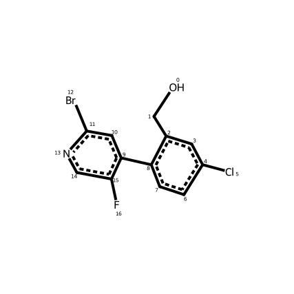 OCc1cc(Cl)ccc1-c1cc(Br)ncc1F